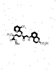 CCOC(=O)N1CCc2c(cccc2NCC(=O)N(CCN(C)C(=O)OC(C)(C)C)Cc2ncccc2C(F)(F)F)C1